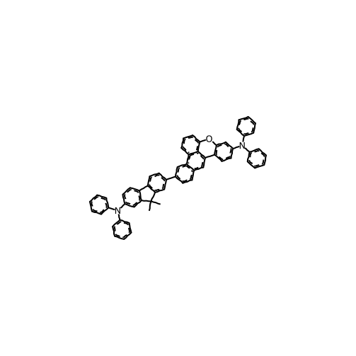 CC1(C)c2cc(-c3ccc4cc5c6c(cccc6c4c3)Oc3cc(N(c4ccccc4)c4ccccc4)ccc3-5)ccc2-c2ccc(N(c3ccccc3)c3ccccc3)cc21